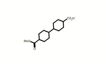 COC(=O)C1CCC(C2CCC(C(=O)O)CC2)CC1